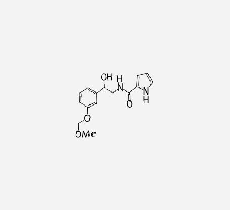 COCOc1cccc(C(O)CNC(=O)c2ccc[nH]2)c1